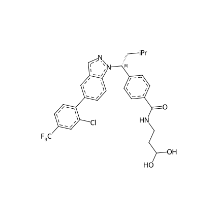 CC(C)C[C@H](c1ccc(C(=O)NCCC(O)O)cc1)n1ncc2cc(-c3ccc(C(F)(F)F)cc3Cl)ccc21